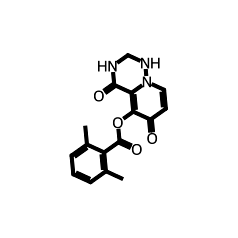 Cc1cccc(C)c1C(=O)Oc1c2n(ccc1=O)NCNC2=O